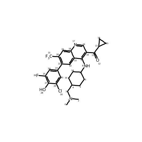 CN(C)CC1CCC(Nc2c(C(=O)C3CC3)cnc3cc(C(F)(F)F)c(-c4cc(F)c(O)c(Cl)c4)cc23)CC1